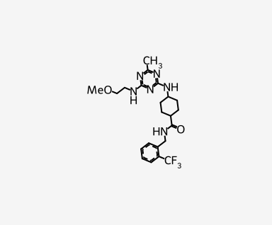 COCCNc1nc(C)nc(NC2CCC(C(=O)NCc3ccccc3C(F)(F)F)CC2)n1